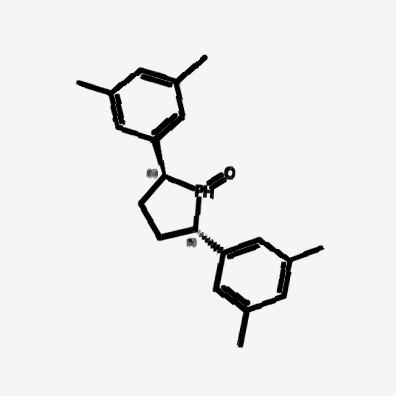 Cc1cc(C)cc([C@@H]2CC[C@@H](c3cc(C)cc(C)c3)[PH]2=O)c1